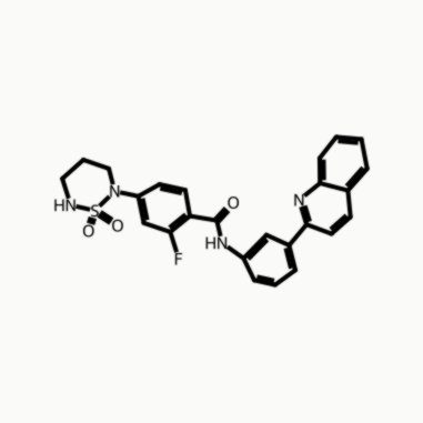 O=C(Nc1cccc(-c2ccc3ccccc3n2)c1)c1ccc(N2CCCNS2(=O)=O)cc1F